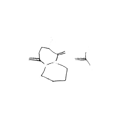 N[C@H]1CC(=O)N2CCCCN2C1=O.O=C(O)O